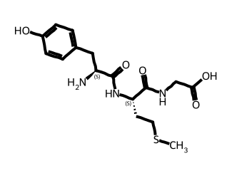 CSCC[C@H](NC(=O)[C@@H](N)Cc1ccc(O)cc1)C(=O)NCC(=O)O